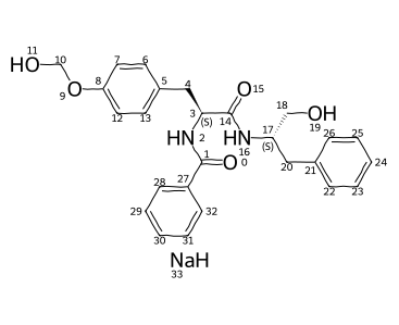 O=C(N[C@@H](Cc1ccc(OCO)cc1)C(=O)N[C@H](CO)Cc1ccccc1)c1ccccc1.[NaH]